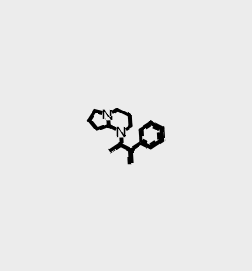 C=C(c1ccccc1)C(C)N1CCCN2CCCC21